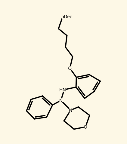 CCCCCCCCCCCCCCOc1ccccc1NN(c1ccccc1)N1CCOCC1